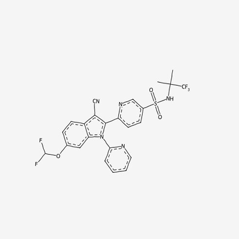 CC(C)(NS(=O)(=O)c1ccc(-c2c(C#N)c3ccc(OC(F)F)cc3n2-c2ccccn2)nc1)C(F)(F)F